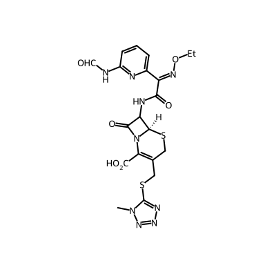 CCO/N=C(/C(=O)NC1C(=O)N2C(C(=O)O)=C(CSc3nnnn3C)CS[C@H]12)c1cccc(NC=O)n1